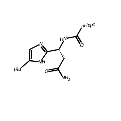 CCCCCCCC(=O)N[C@H](CC(N)=O)c1ncc(C(C)(C)C)[nH]1